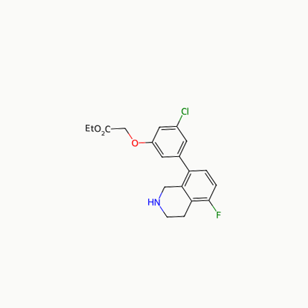 CCOC(=O)COc1cc(Cl)cc(-c2ccc(F)c3c2CNCC3)c1